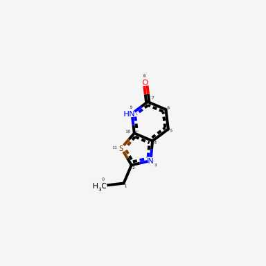 CCc1nc2ccc(=O)[nH]c2s1